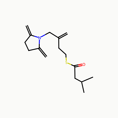 C=C(CCSC(=O)CC(C)C)CN1C(=C)CCC1=C